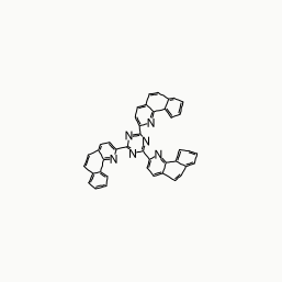 c1ccc2c(c1)ccc1ccc(-c3nc(-c4ccc5ccc6ccccc6c5n4)nc(-c4ccc5ccc6ccccc6c5n4)n3)nc12